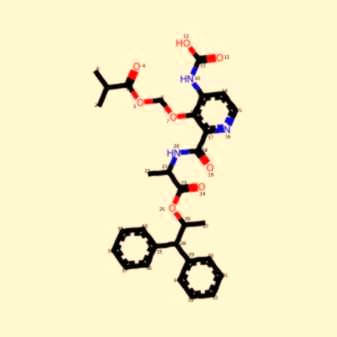 CC(C)C(=O)OCOc1c(NC(=O)O)ccnc1C(=O)NC(C)C(=O)OC(C)C(c1ccccc1)c1ccccc1